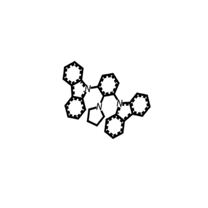 c1cc(-n2c3ccccc3c3ccccc32)c(N2CCCC2)c(-n2c3ccccc3c3ccccc32)c1